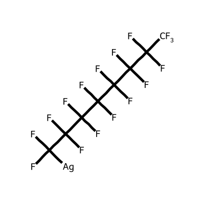 FC(F)(F)C(F)(F)C(F)(F)C(F)(F)C(F)(F)C(F)(F)C(F)(F)[C](F)(F)[Ag]